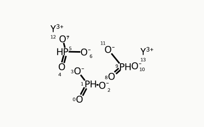 O=[PH]([O-])[O-].O=[PH]([O-])[O-].O=[PH]([O-])[O-].[Y+3].[Y+3]